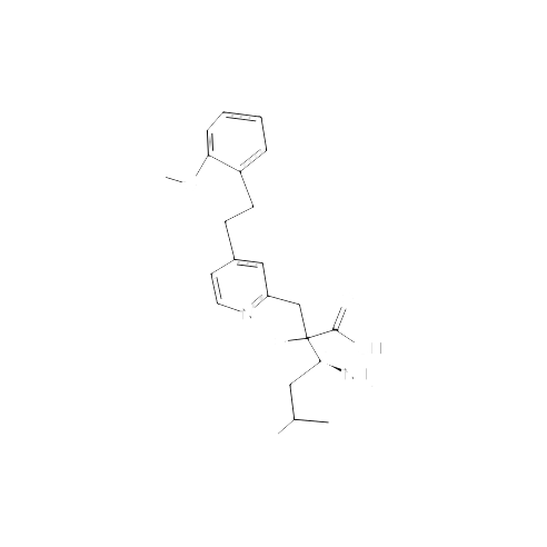 COc1ccccc1CCc1ccnc(CC(O)(C(=O)O)[C@@H](N)CC(C)C)c1